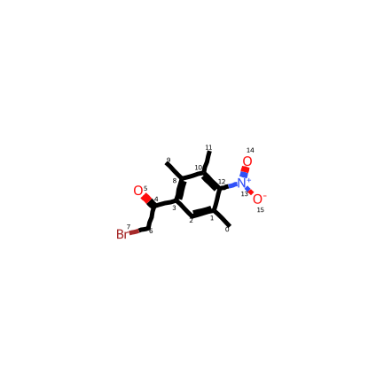 Cc1cc(C(=O)CBr)c(C)c(C)c1[N+](=O)[O-]